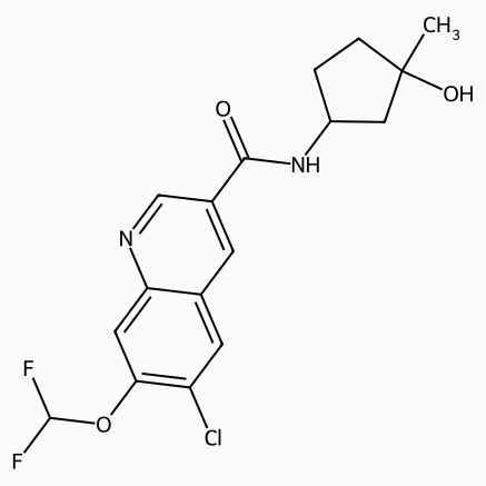 CC1(O)CCC(NC(=O)c2cnc3cc(OC(F)F)c(Cl)cc3c2)C1